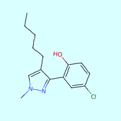 CCCCCc1cn(C)nc1-c1cc(Cl)ccc1O